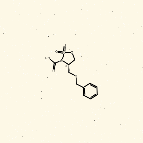 O=C(O)N1[C@H](COCc2ccccc2)COS1(=O)=O